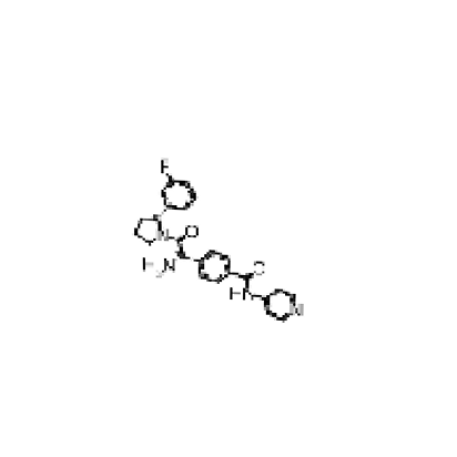 N[C@H](C(=O)N1CCC[C@@H]1c1cccc(F)c1)c1ccc(C(=O)Nc2ccncc2)cc1